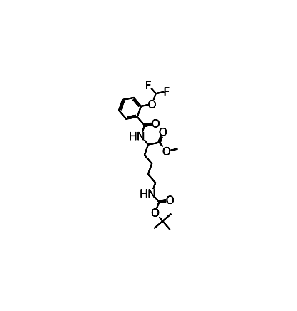 COC(=O)C(CCCCNC(=O)OC(C)(C)C)NC(=O)c1ccccc1OC(F)F